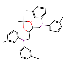 Cc1cccc(P(CC2OC(C)(C)OC2CP(c2cccc(C)c2)c2cccc(C)c2)c2cccc(C)c2)c1